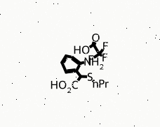 CCCSC(C(=O)O)c1ccccc1N.O=C(O)C(F)(F)F